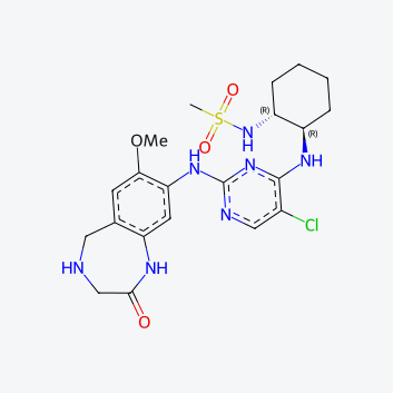 COc1cc2c(cc1Nc1ncc(Cl)c(N[C@@H]3CCCC[C@H]3NS(C)(=O)=O)n1)NC(=O)CNC2